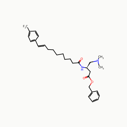 CN(C)C[C@@H](CC(=O)OCc1ccccc1)NC(=O)CCCCCCC/C=C/c1ccc(C(F)(F)F)cc1